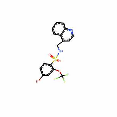 O=S(=O)(NCc1ccnc2ccccc12)c1ccc(Br)cc1OC(F)(F)F